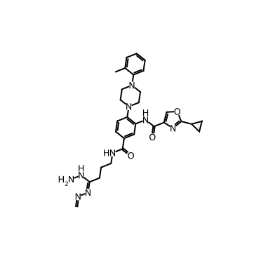 C=N/N=C(/CCCNC(=O)c1ccc(N2CCN(c3ccccc3C)CC2)c(NC(=O)c2coc(C3CC3)n2)c1)NN